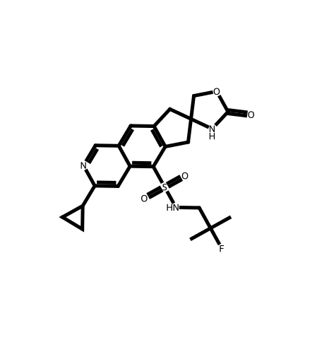 CC(C)(F)CNS(=O)(=O)c1c2c(cc3cnc(C4CC4)cc13)CC1(COC(=O)N1)C2